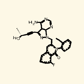 Cc1ccccc1-n1c(CN2N=C(C#C[C@@H](C)O)C3C(N)=NC=NC32)cc2cccc(F)c2c1=O